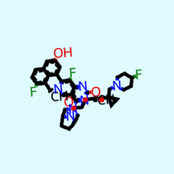 C#CCCC(=O)N1C2CCC1CN(c1nc(OCC3(CN4CCC(F)CC4)CC3)nc3c(F)c(-c4cc(O)cc5ccc(F)c(C#C)c45)ncc13)C2